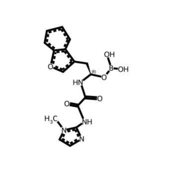 Cn1ccnc1NC(=O)C(=O)N[C@@H](Cc1coc2ccccc12)OB(O)O